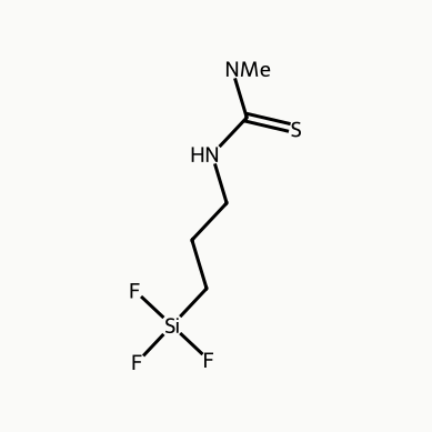 CNC(=S)NCCC[Si](F)(F)F